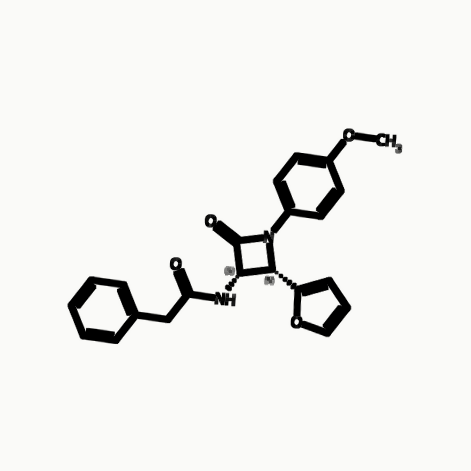 COc1ccc(N2C(=O)[C@@H](NC(=O)Cc3ccccc3)[C@H]2c2ccco2)cc1